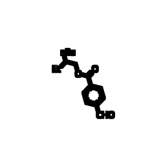 CCCCC(CC)COC(=O)c1ccc(C=O)cc1